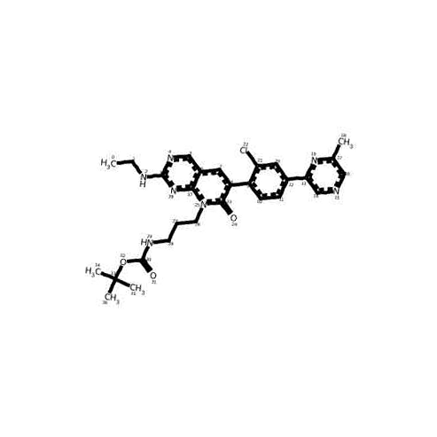 CCNc1ncc2cc(-c3ccc(-c4cncc(C)n4)cc3Cl)c(=O)n(CCCNC(=O)OC(C)(C)C)c2n1